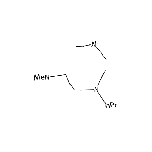 CCCN(C)CCNC.[CH3][Al][CH3]